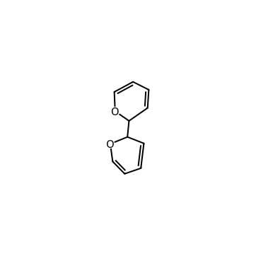 C1=COC(C2C=CC=CO2)C=C1